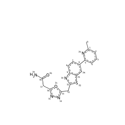 Cc1cccc(-c2ccc3nc(Cc4nnc(CC(N)=O)o4)sc3c2)n1